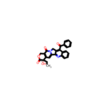 CC[C@@]1(O)C(=O)OCc2c1cc1n(c2=O)Cc2c-1nc1ccccc1c2C(=O)c1ccccc1